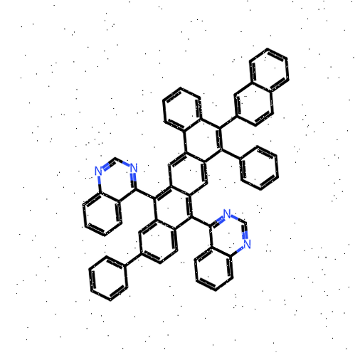 c1ccc(-c2ccc3c(-c4ncnc5ccccc45)c4cc5c(-c6ccccc6)c(-c6ccc7ccccc7c6)c6ccccc6c5cc4c(-c4ncnc5ccccc45)c3c2)cc1